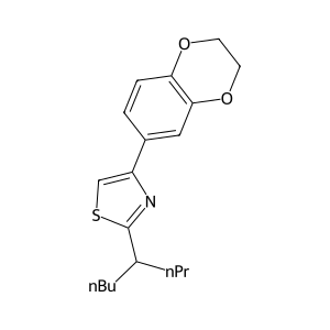 CCCCC(CCC)c1nc(-c2ccc3c(c2)OCCO3)cs1